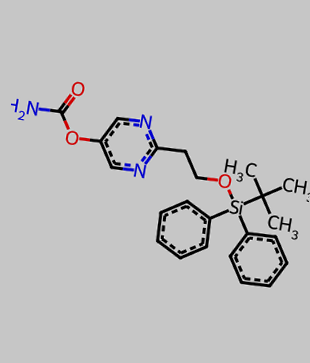 CC(C)(C)[Si](OCCc1ncc(OC(N)=O)cn1)(c1ccccc1)c1ccccc1